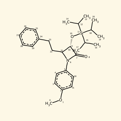 COc1ccc(N2C(=O)[C@@H](O[Si](C(C)C)(C(C)C)C(C)C)C2CCc2ccccc2)cc1